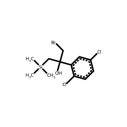 C[Si](C)(C)CC(O)(CBr)c1cc(Cl)ccc1Cl